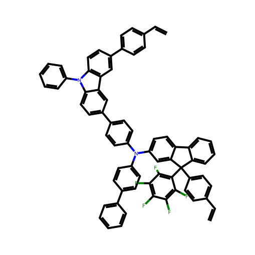 C=Cc1ccc(-c2ccc3c(c2)c2cc(-c4ccc(N(c5ccc(-c6ccccc6)cc5)c5ccc6c(c5)C(c5ccc(C=C)cc5)(c5c(F)c(F)c(F)c(F)c5F)c5ccccc5-6)cc4)ccc2n3-c2ccccc2)cc1